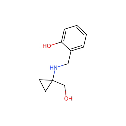 OCC1(NCc2ccccc2O)CC1